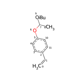 C=Cc1ccc(OC(C)OCC(C)C)cc1